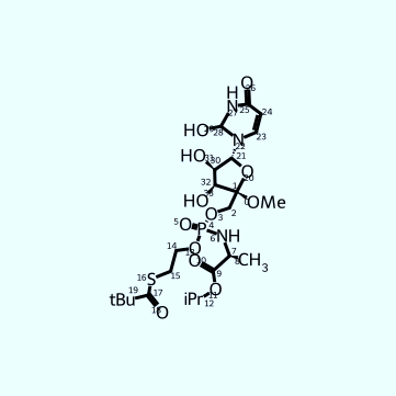 CO[C@]1(COP(=O)(N[C@@H](C)C(=O)OC(C)C)OCCSC(=O)C(C)(C)C)O[C@@H](N2C=CC(=O)NC2O)[C@H](O)[C@@H]1O